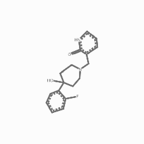 O=c1[nH]cccc1CN1CCC(O)(c2ccccc2F)CC1